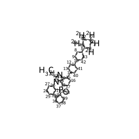 [2H]c1c([2H])c([2H])c(-c2ccc(-c3ccc(-c4ccc5c6c4nc(CC)n6-c4ccccc4P5(=O)c4ccccc4)cc3)cc2)c([2H])c1[2H]